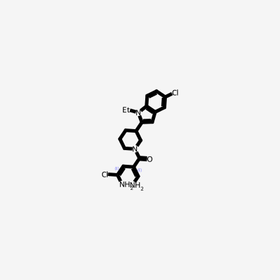 CCn1c(C2CCCN(C(=O)C(/C=C(\N)Cl)=C/N)C2)cc2cc(Cl)ccc21